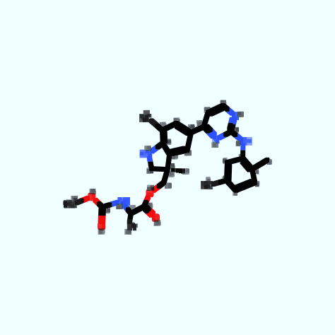 Cc1ccc(C#N)cc1Nc1nccc(-c2cc(C#N)c3c(c2)[C@@](C)(COC(=O)C(NC(=O)OC(C)(C)C)C(C)C)CN3)n1